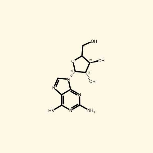 Nc1nc(S)c2ncn([C@@H]3OC(CO)[C@@H](O)[C@@H]3O)c2n1